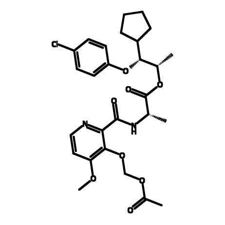 COc1ccnc(C(=O)N[C@@H](C)C(=O)O[C@@H](C)[C@H](Oc2ccc(Cl)cc2)C2CCCC2)c1OCOC(C)=O